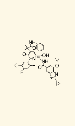 C[C@]1(C(N)=O)COc2c1cc([C@@](O)(CNC(=O)c1cc(OC3CC3)c3nc(C4CC4)sc3c1)c1ccccc1)nc2-c1cc(Cl)c(F)cc1F